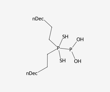 CCCCCCCCCCCCP(S)(S)(CCCCCCCCCCCC)P(O)O